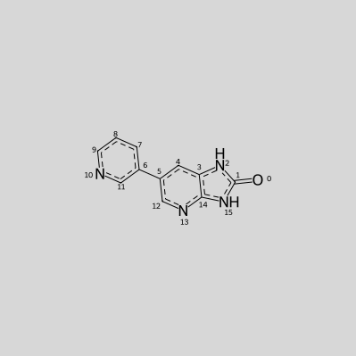 O=c1[nH]c2cc(-c3cccnc3)cnc2[nH]1